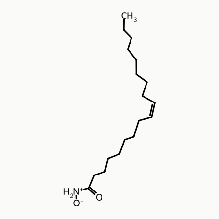 CCCCCCCC/C=C\CCCCCCCC(=O)[NH2+][O-]